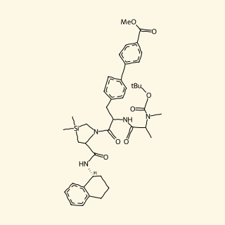 COC(=O)c1ccc(-c2ccc(CC(NC(=O)C(C)N(C)C(=O)OC(C)(C)C)C(=O)N3C[Si](C)(C)CC3C(=O)N[C@@H]3CCCc4ccccc43)cc2)cc1